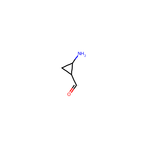 NC1CC1[C]=O